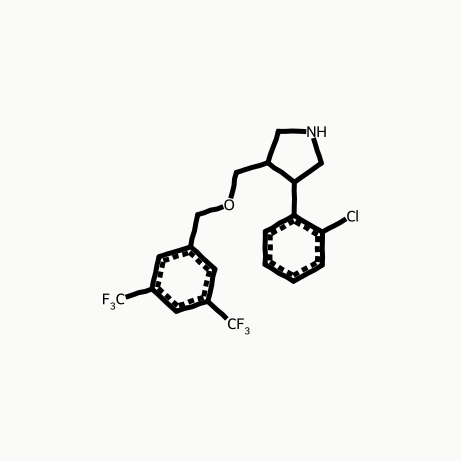 FC(F)(F)c1cc(COCC2CNCC2c2ccccc2Cl)cc(C(F)(F)F)c1